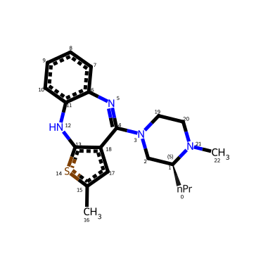 CCC[C@H]1CN(C2=Nc3ccccc3Nc3sc(C)cc32)CCN1C